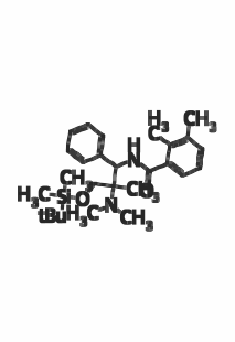 Cc1cccc(C(=O)NC(c2ccccc2)C(C)(CO[Si](C)(C)C(C)(C)C)N(C)C)c1C